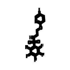 O=S(=O)(NCCOc1ccc(I)cn1)c1c(F)c(F)c(F)c(F)c1F